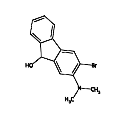 CN(C)c1cc2c(cc1Br)-c1ccccc1C2O